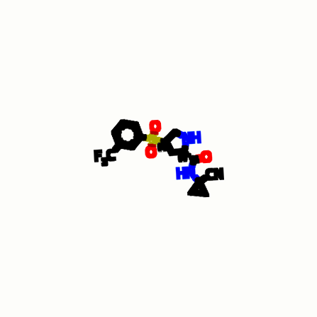 N#CC1(NC(=O)[C@@H]2C[C@@H](S(=O)(=O)c3cccc(C(F)(F)F)c3)CN2)CC1